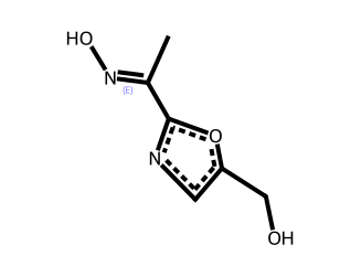 C/C(=N\O)c1ncc(CO)o1